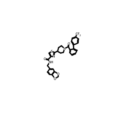 O=C(NCc1ccc2c(c1)OCO2)c1csc(C2CCN(C(=O)c3ccccc3-c3ccc(C(F)(F)F)cc3)CC2)n1